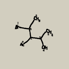 CC(=O)C(C(C)O)C(C)Br